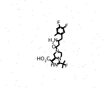 C/C(C(=O)O)=C1/CN(C(=O)CC(N)Cc2cc(F)c(F)cc2C)CCN1C(=N)C(C)(C)F